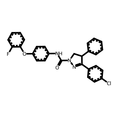 O=C(Nc1ccc(Oc2ccccc2F)cc1)N1CC(c2ccccc2)C(c2ccc(Cl)cc2)=N1